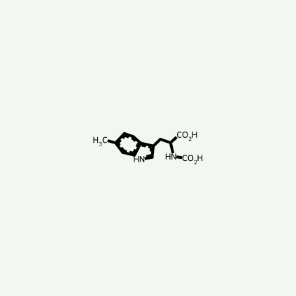 Cc1ccc2c(CC(NC(=O)O)C(=O)O)c[nH]c2c1